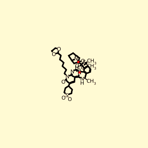 C[C@@H](Nc1ncnc2c1cc(C1CCS(=O)(=O)CC1)c(=O)n2CCCCCCC1OCCO1)c1cccc(C(F)(F)C2CC3CCC(C2)N3C(=O)OC(C)(C)C)c1F